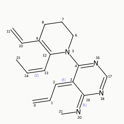 C=C/C=C1/C(N2CCCC(C=C)=C2/C=C\C)=NC=N/C1=N/C